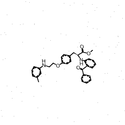 COC(=O)[C@H](Cc1ccc(OCCNc2cccc(C)c2)cc1)Nc1ccccc1C(=O)c1ccccc1